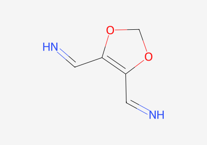 N=CC1=C(C=N)OCO1